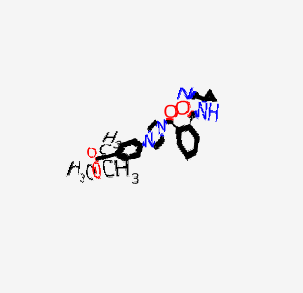 COC(=O)C(C)(C)c1ccc(N2CCN(C(=O)[C@@H]3CCCC[C@H]3C(=O)NC3(C#N)CC3)CC2)cc1